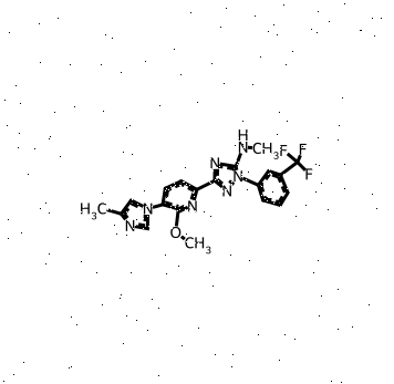 CNc1nc(-c2ccc(-n3cnc(C)c3)c(OC)n2)nn1-c1cccc(C(F)(F)F)c1